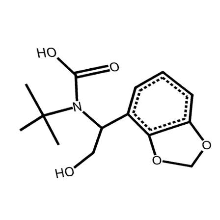 CC(C)(C)N(C(=O)O)C(CO)c1cccc2c1OCO2